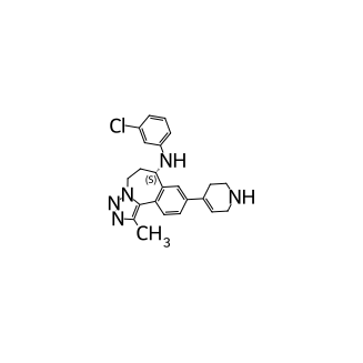 Cc1nnn2c1-c1ccc(C3=CCNCC3)cc1[C@@H](Nc1cccc(Cl)c1)CC2